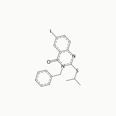 CC(C)Sc1nc2ccc(I)cc2c(=O)n1Cc1ccccc1